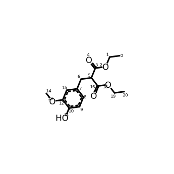 CCOC(=O)C(Cc1ccc(O)c(OC)c1)C(=O)OCC